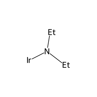 CC[N]([Ir])CC